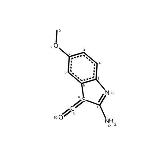 COc1ccc2c(c1)S(=C=O)C(N)=N2